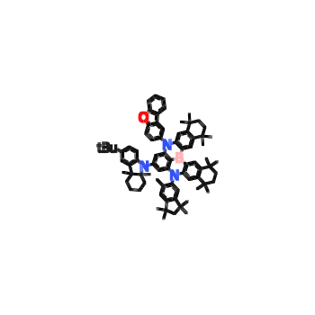 Cc1cc2c(cc1N1c3cc4c(cc3B3c5cc6c(cc5N(c5ccc7oc8ccccc8c7c5)c5cc(N7c8ccc(C(C)(C)C)cc8C8(C)CCCCC78C)cc1c53)C(C)(C)CCC6(C)C)C(C)(C)CCC4(C)C)C(C)(C)CC2(C)C